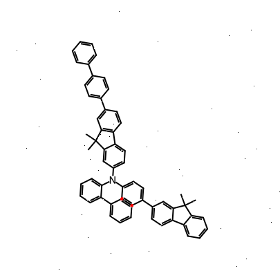 CC1(C)c2ccccc2-c2ccc(-c3ccc(N(c4ccc5c(c4)C(C)(C)c4cc(-c6ccc(-c7ccccc7)cc6)ccc4-5)c4ccccc4-c4ccccc4)cc3)cc21